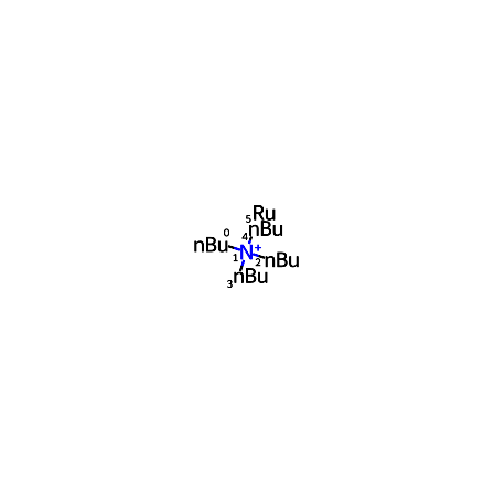 CCCC[N+](CCCC)(CCCC)CCCC.[Ru]